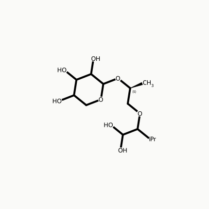 CC(C)C(OC[C@H](C)OC1OCC(O)C(O)C1O)C(O)O